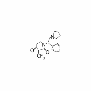 O=C1CCN(C(CN2CCCC2)c2ccccc2)C(=O)C1C(F)(F)F